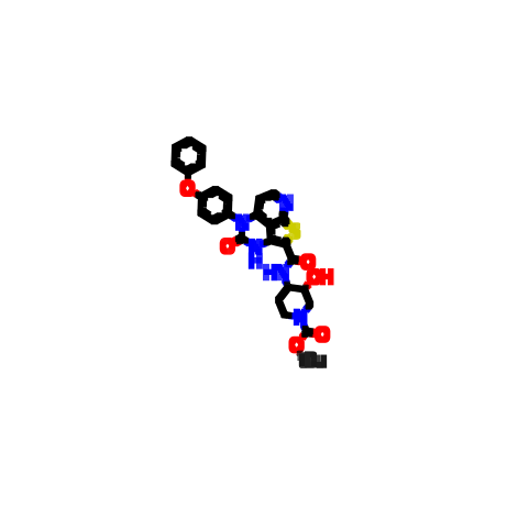 CC(C)(C)OC(=O)N1CC[C@@H](NC(=O)c2sc3nccc4c3c2NC(=O)N4c2ccc(Oc3ccccc3)cc2)[C@@H](O)C1